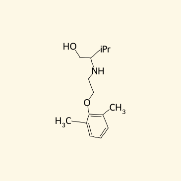 Cc1cccc(C)c1OCCNC(CO)C(C)C